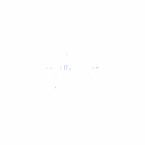 C[C@H](Cc1cccc(C(F)(F)F)c1)NCCc1ccccc1